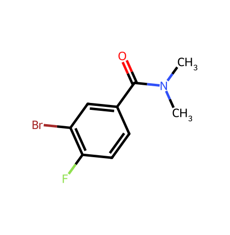 CN(C)C(=O)c1ccc(F)c(Br)c1